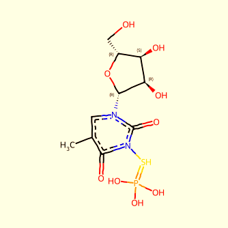 Cc1cn([C@@H]2O[C@H](CO)[C@@H](O)[C@H]2O)c(=O)n([SH]=P(O)(O)O)c1=O